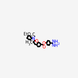 CCOC(=O)CN(C(=O)C(C)=Cc1ccc(C(=O)Oc2ccc(C(=N)N)cc2)cc1)c1ccccc1